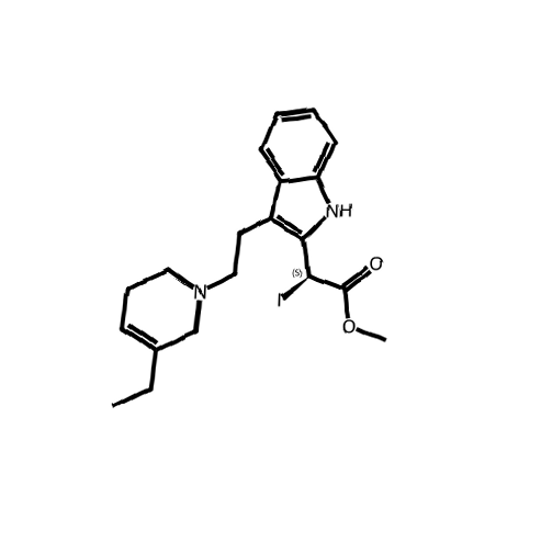 CCC1=CCCN(CCc2c([C@H](I)C(=O)OC)[nH]c3ccccc23)C1